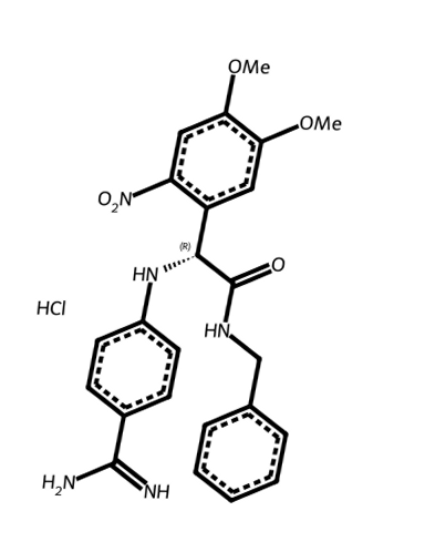 COc1cc([C@@H](Nc2ccc(C(=N)N)cc2)C(=O)NCc2ccccc2)c([N+](=O)[O-])cc1OC.Cl